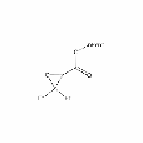 CCCCCOC(=O)C1OC1(CC)CC